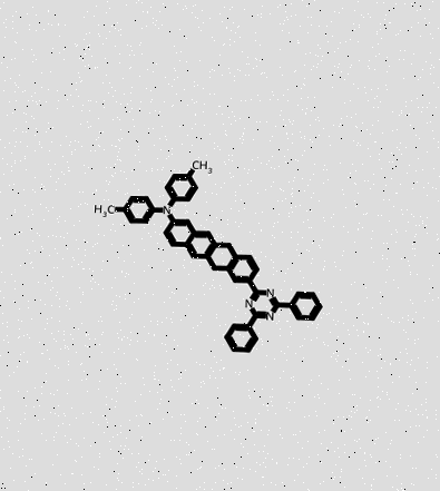 Cc1ccc(N(c2ccc(C)cc2)c2ccc3cc4c(cc3c2)Cc2ccc(-c3nc(-c5ccccc5)nc(-c5ccccc5)n3)cc2C4)cc1